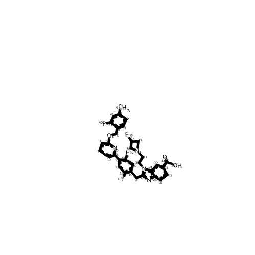 Cc1ccc(COc2cccc(-c3cc(F)c(Cc4nc5ccc(C(=O)O)cc5n4CCN4CC(F)C4)cc3F)n2)c(F)c1